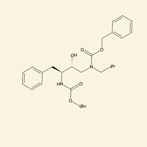 CC(C)CN(C[C@@H](O)[C@H](Cc1ccccc1)NC(=O)OC(C)(C)C)C(=O)OCc1ccccc1